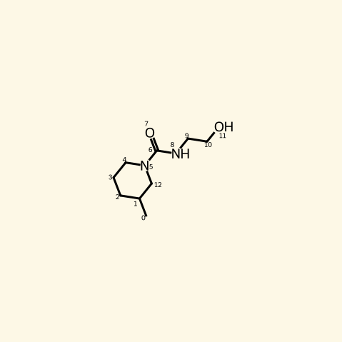 CC1CCCN(C(=O)NCCO)C1